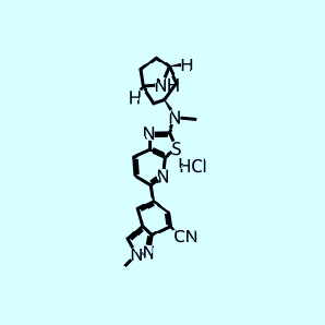 CN(c1nc2ccc(-c3cc(C#N)c4nn(C)cc4c3)nc2s1)[C@@H]1C[C@H]2CC[C@@H](C1)N2.Cl